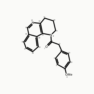 COc1ccc(CC(=O)N2CCCc3ncc4ccccc4c32)cc1